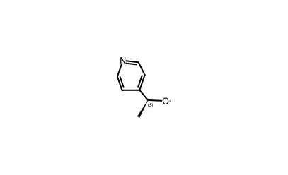 C[C@H]([O])c1ccncc1